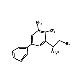 CCC(C)CC(C(=O)O)c1cc(-c2ccccc2)cc(N)c1C(F)(F)F